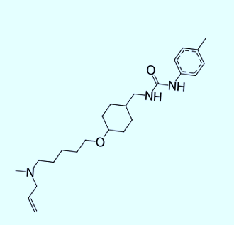 C=CCN(C)CCCCCOC1CCC(CNC(=O)Nc2ccc(C)cc2)CC1